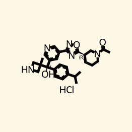 CC(=O)N1CCC[C@@H](c2nc(-c3cncc([C@@](O)(c4ccc(C(C)C)cc4)C4(C)CNC4)c3)no2)C1.Cl